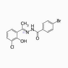 C/C(=N\NC(=O)c1ccc(Br)cc1)c1cccc(Cl)c1O